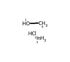 CO.Cl.[InH3]